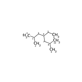 [CH2]C(C)CC(CC)CC(C)C